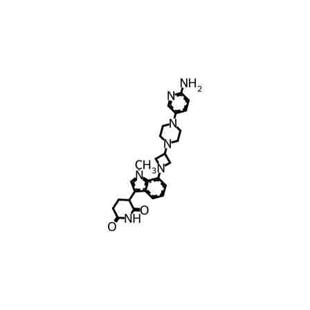 Cn1cc(C2CCC(=O)NC2=O)c2cccc(N3CC(N4CCN(c5ccc(N)nc5)CC4)C3)c21